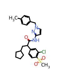 Cc1ccc(Cn2ccc(NC(=O)C(CC3CCCC3)c3ccc(S(C)(=O)=O)c(Cl)c3)n2)cc1